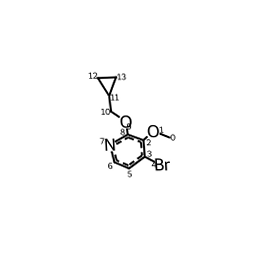 COc1c(Br)ccnc1OCC1CC1